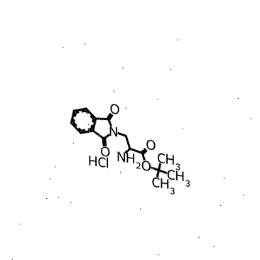 CC(C)(C)OC(=O)C(N)CN1C(=O)c2ccccc2C1=O.Cl